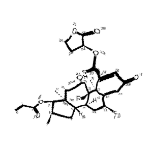 CCC(=O)O[C@@H]1[C@H](C)C[C@H]2[C@@H]3C[C@H](F)C4=CC(=O)C=C(C(=S)O[C@H]5CCOC5=O)[C@]4(C)[C@@]3(F)[C@@H](O)C[C@]12C